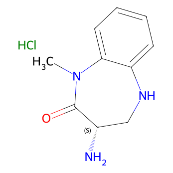 CN1C(=O)[C@@H](N)CNc2ccccc21.Cl